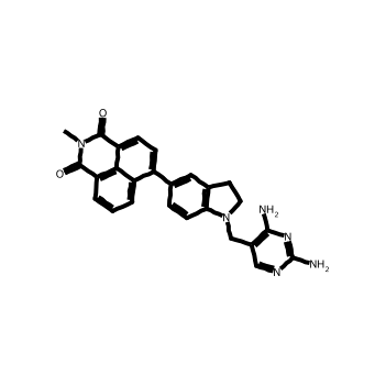 CN1C(=O)c2cccc3c(-c4ccc5c(c4)CCN5Cc4cnc(N)nc4N)ccc(c23)C1=O